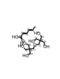 C/C=C/C=C/C(=O)O.OCC(CO)(CO)COCC(CO)(CO)CO